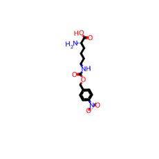 N[C@@H](CCCCNC(=O)OCc1ccc([N+](=O)[O-])cc1)C(=O)O